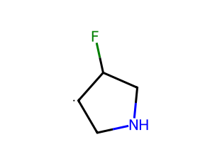 FC1[CH]CNC1